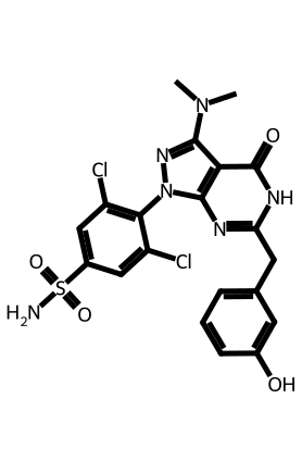 CN(C)c1nn(-c2c(Cl)cc(S(N)(=O)=O)cc2Cl)c2nc(Cc3cccc(O)c3)[nH]c(=O)c12